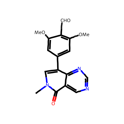 COc1cc(-c2cn(C)c(=O)c3cncnc23)cc(OC)c1C=O